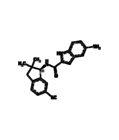 [C-]#[N+]c1ccc2c(c1)[C@H](NC(=O)c1cc3cc(N)ccc3[nH]1)C(C)(C)C2